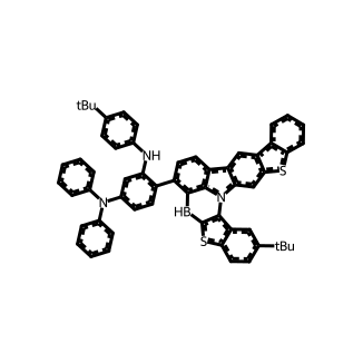 CC(C)(C)c1ccc(Nc2cc(N(c3ccccc3)c3ccccc3)ccc2-c2ccc3c4cc5c(cc4n4c3c2Bc2sc3ccc(C(C)(C)C)cc3c2-4)sc2ccccc25)cc1